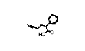 N#CCCC(C(=O)O)c1ccccc1